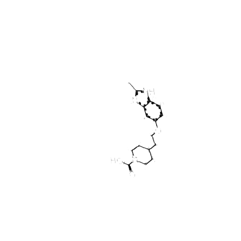 Cc1nc2cc(OCCC3CCN(C(=O)O)CC3)ccc2[nH]1